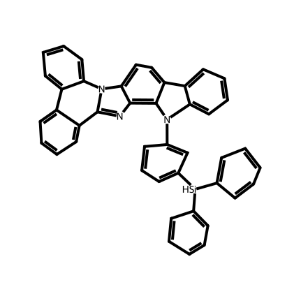 c1ccc([SiH](c2ccccc2)c2cccc(-n3c4ccccc4c4ccc5c(nc6c7ccccc7c7ccccc7n56)c43)c2)cc1